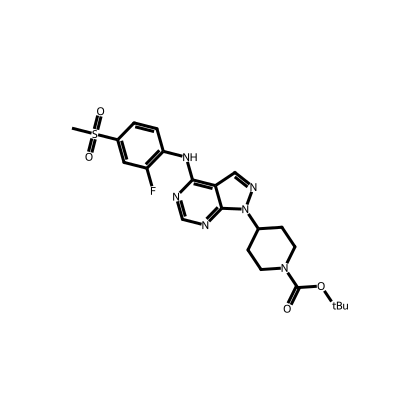 CC(C)(C)OC(=O)N1CCC(n2ncc3c(Nc4ccc(S(C)(=O)=O)cc4F)ncnc32)CC1